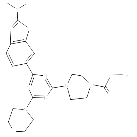 CN(C)c1nc2ccc(-c3nc(N4CCOCC4)nc(N4CCN(C(=O)OC(C)(C)C)CC4)n3)cc2s1